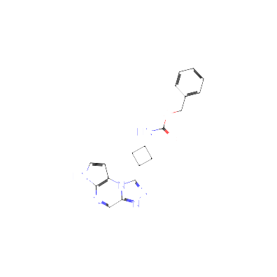 O=C(N[C@H]1C[C@@H](c2nnc3cnc4[nH]ccc4n32)C1)OCc1ccccc1